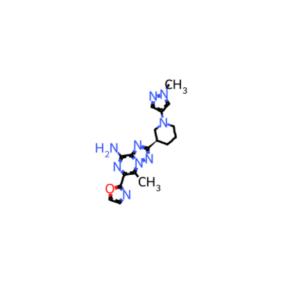 Cc1c(-c2ncco2)nc(N)c2nc([C@@H]3CCCN(c4cnn(C)c4)C3)nn12